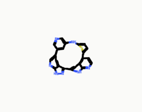 c1cc2c3ccc([nH]c4cncc(c4)c4cnc5[nH]nc(c6cc2c(n1)[nH]6)c5c4)s3